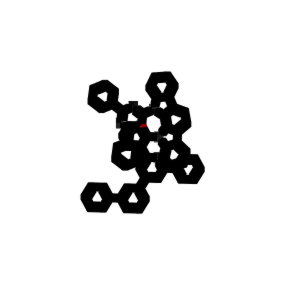 c1ccc(-c2cccc(-c3cc(-c4ccccc4)nc(-c4ccccc4-n4c5ccccc5c5ccc6c7ccccc7n(-c7nc(-c8ccccc8)nc(-c8ccccc8)n7)c6c54)c3)c2)cc1